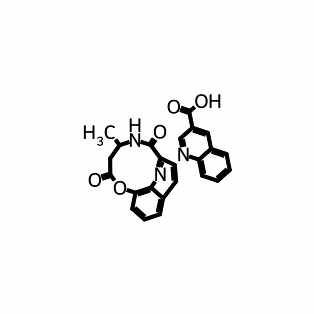 CC1CC(=O)Oc2cccc3ccc(nc23)C(=O)N1.O=C(O)c1cnc2ccccc2c1